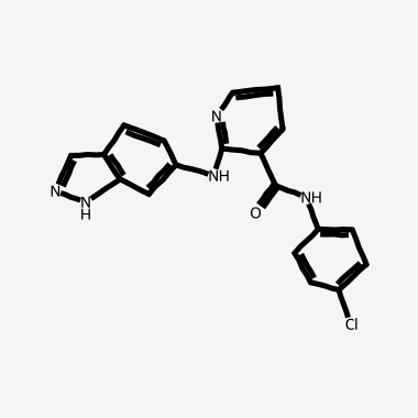 O=C(Nc1ccc(Cl)cc1)c1cccnc1Nc1ccc2cn[nH]c2c1